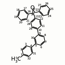 Cc1ccc(-c2cccc(-c3ccc(P(=O)(c4ccccc4)c4ccccc4)cc3)c2)cc1